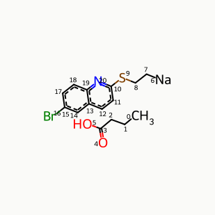 CCCC(=O)O.[Na][CH2]CSc1ccc2cc(Br)ccc2n1